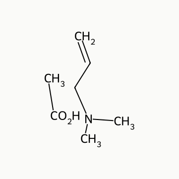 C=CCN(C)C.CC(=O)O